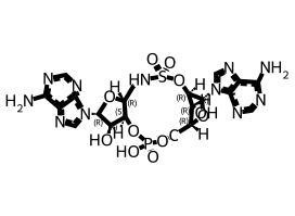 Nc1ncnc2c1ncn2[C@@H]1O[C@@H]2CNS(=O)(=O)O[C@@H]3[C@H](O)[C@@H](COP(=O)(O)O[C@H]2[C@H]1O)O[C@H]3n1cnc2c(N)ncnc21